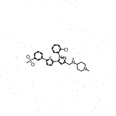 CN1CCC(N(C)Cc2cc(-c3ccc(-c4cccc(S(C)(=O)=O)c4)s3)n(-c3ccccc3Cl)n2)CC1